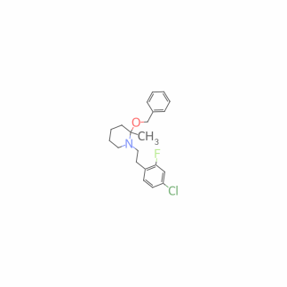 CC1(OCc2ccccc2)CCCCN1CCc1ccc(Cl)cc1F